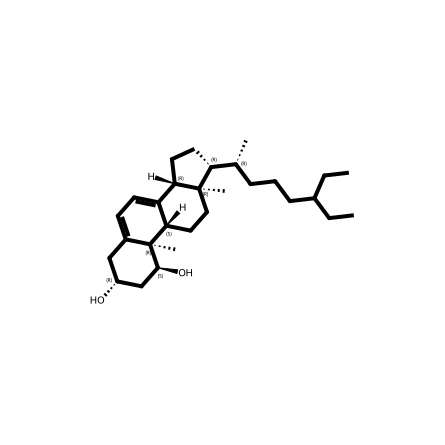 CCC(CC)CCC[C@@H](C)[C@H]1CC[C@H]2C3=CC=C4C[C@@H](O)C[C@H](O)[C@]4(C)[C@H]3CC[C@]12C